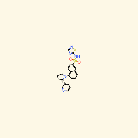 O=S(=O)(Nc1ncns1)c1ccc2c(N3CCC[C@H]3c3cccnc3)cccc2c1